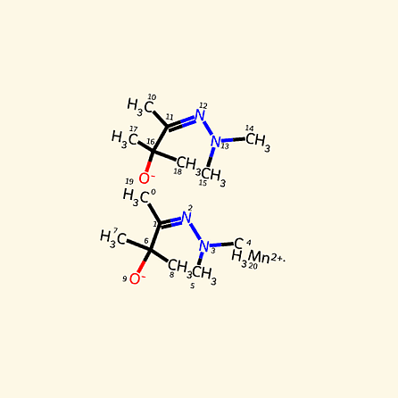 CC(=NN(C)C)C(C)(C)[O-].CC(=NN(C)C)C(C)(C)[O-].[Mn+2]